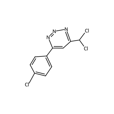 Clc1ccc(-c2cc(C(Cl)Cl)nnn2)cc1